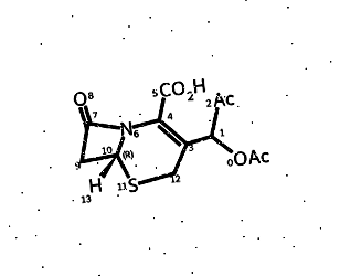 CC(=O)OC(C(C)=O)C1=C(C(=O)O)N2C(=O)C[C@H]2SC1